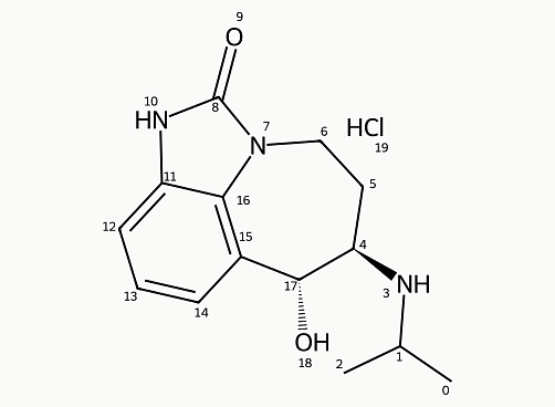 CC(C)N[C@@H]1CCn2c(=O)[nH]c3cccc(c32)[C@H]1O.Cl